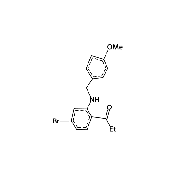 CCC(=O)c1ccc(Br)cc1NCc1ccc(OC)cc1